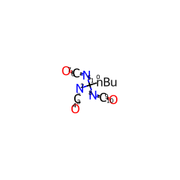 CCCCC(N=C=O)(N=C=O)N=C=O